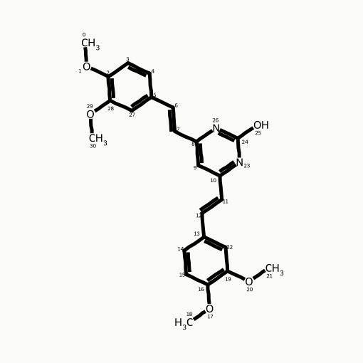 COc1ccc(C=Cc2cc(C=Cc3ccc(OC)c(OC)c3)nc(O)n2)cc1OC